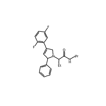 CCC(C(=O)NC(C)C)N1CC(c2cc(F)ccc2F)=CC1c1ccccc1